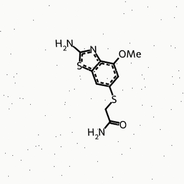 COc1cc(SCC(N)=O)cc2sc(N)nc12